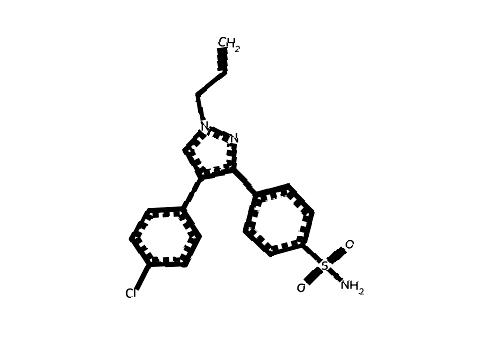 C=CCn1cc(-c2ccc(Cl)cc2)c(-c2ccc(S(N)(=O)=O)cc2)n1